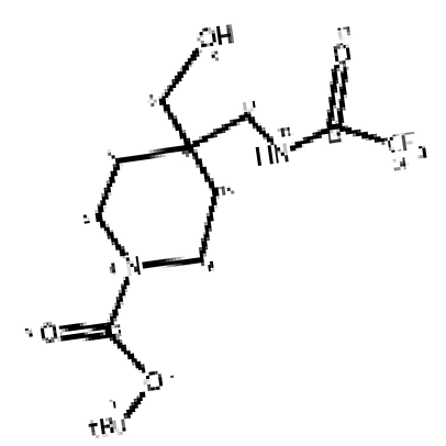 CC(C)(C)OC(=O)N1CCC(CO)(CNC(=O)C(F)(F)F)CC1